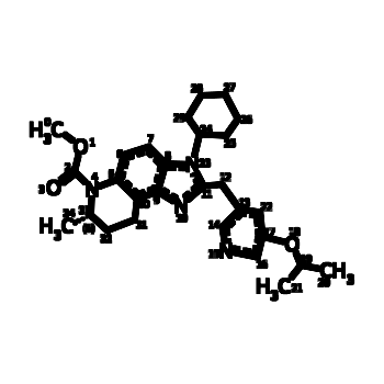 COC(=O)N1c2ccc3c(nc(Cc4cncc(OC(C)C)c4)n3C3CCCCC3)c2CC[C@@H]1C